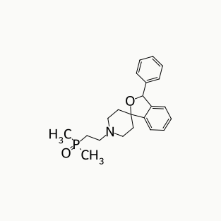 CP(C)(=O)CCN1CCC2(CC1)OC(c1ccccc1)c1ccccc12